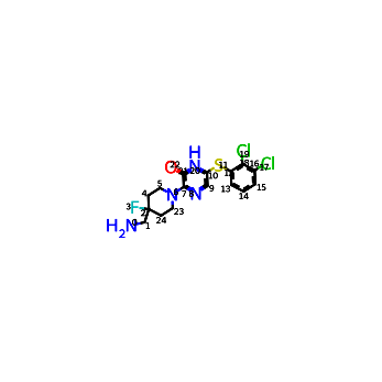 NCC1(F)CCN(c2ncc(Sc3cccc(Cl)c3Cl)[nH]c2=O)CC1